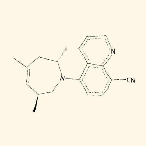 CC1=C[C@H](C)CN(c2ccc(C#N)c3ncccc23)[C@@H](C)C1